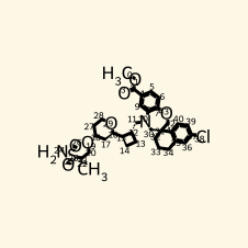 COC(=O)c1ccc2c(c1)N(C[C@@H]1CC[C@H]1[C@H]1C[C@@H](OC[C@H](C)S(N)(=O)=O)CCO1)C[C@@]1(CCCc3cc(Cl)ccc31)CO2